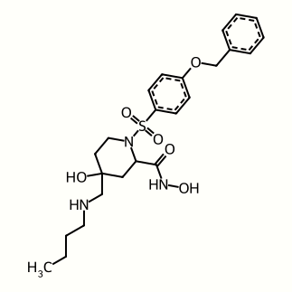 CCCCNCC1(O)CCN(S(=O)(=O)c2ccc(OCc3ccccc3)cc2)C(C(=O)NO)C1